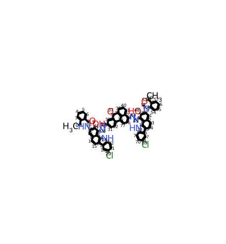 CCc1ccccc1C(=O)Nc1cc2ccc3c4cc(Cl)ccc4[nH]c3c2c(N=Nc2ccc3c(c2)C(=O)c2cccc4c(N=Nc5c(O)c(N(C=O)c6ccccc6CC)cc6ccc7c8cc(Cl)ccc8[nH]c7c56)ccc-3c24)c1O